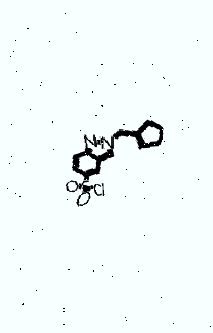 O=S(=O)(Cl)c1ccc2nn(CC3CCCC3)cc2c1